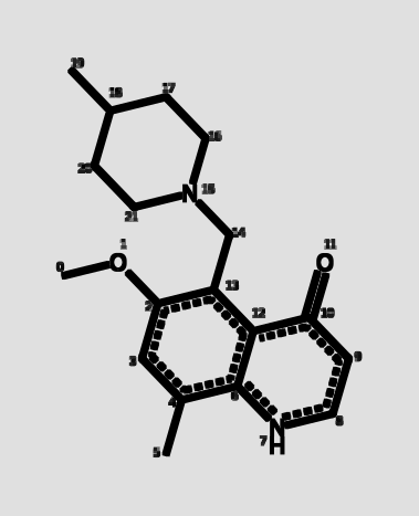 COc1cc(C)c2[nH]ccc(=O)c2c1CN1CCC(C)CC1